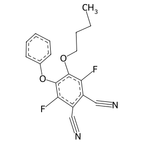 CCCCOc1c(F)c(C#N)c(C#N)c(F)c1Oc1ccccc1